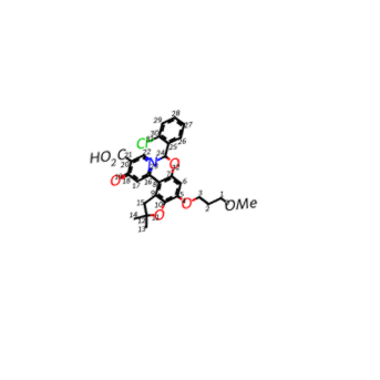 COCCCOc1cc2c(c3c1OC(C)(C)C3)-c1cc(=O)c(C(=O)O)cn1C(c1ccccc1Cl)O2